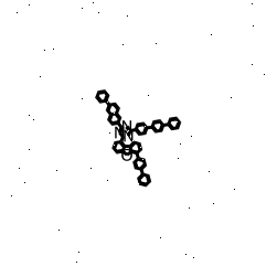 c1ccc(-c2ccc(-c3ccc(-c4nc(-c5ccc6cc(-c7ccccc7)ccc6c5)nc(-c5cccc6oc7c(-c8ccc(-c9ccccc9)cc8)cccc7c56)n4)cc3)cc2)cc1